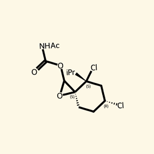 CC(=O)NC(=O)OC1O[C@@]12CC[C@@H](Cl)C[C@]2(Cl)C(C)C